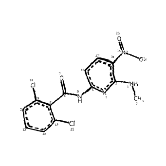 CNc1nc(NC(=O)c2c(Cl)cccc2Cl)ccc1[N+](=O)[O-]